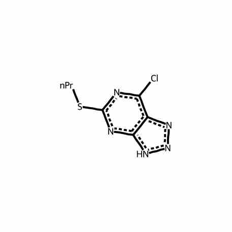 CCCSc1nc(Cl)c2nn[nH]c2n1